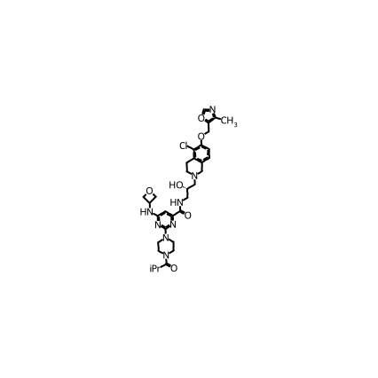 Cc1ncoc1COc1ccc2c(c1Cl)CCN(C[C@@H](O)CNC(=O)c1cc(NC3COC3)nc(N3CCN(C(=O)C(C)C)CC3)n1)C2